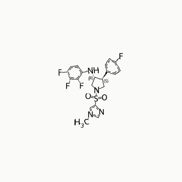 Cn1cnc(S(=O)(=O)N2C[C@H](Nc3ccc(F)c(F)c3F)[C@@H](c3ccc(F)cc3)C2)c1